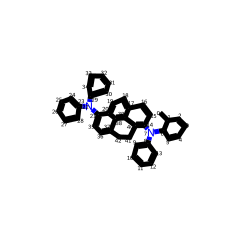 CC1C=CC=CC1N(c1ccccc1)c1ccc2ccc3c(N(c4ccccc4)c4ccccc4)ccc4c3c2c1CC4